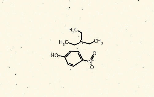 CCN(CC)CC.O=[N+]([O-])c1ccc(O)cc1